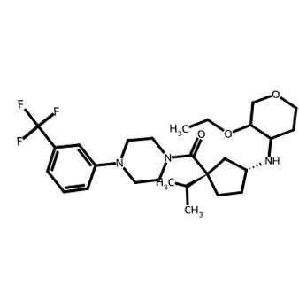 CCOC1COCCC1N[C@@H]1CC[C@@](C(=O)N2CCN(c3cccc(C(F)(F)F)c3)CC2)(C(C)C)C1